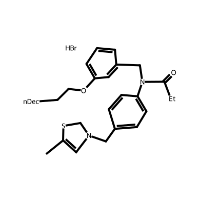 Br.CCCCCCCCCCCCOc1cccc(CN(C(=O)CC)c2ccc(CN3C=C(C)SC3)cc2)c1